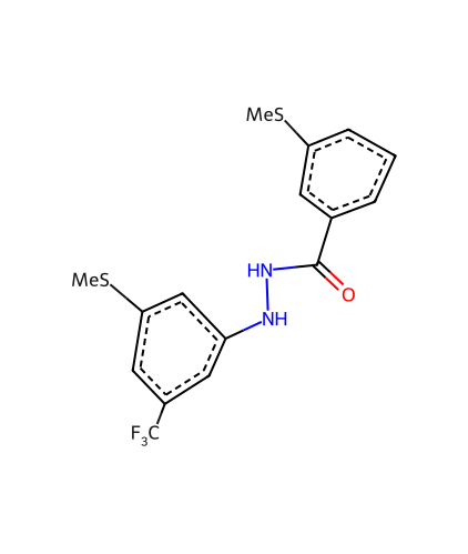 CSc1cccc(C(=O)NNc2cc(SC)cc(C(F)(F)F)c2)c1